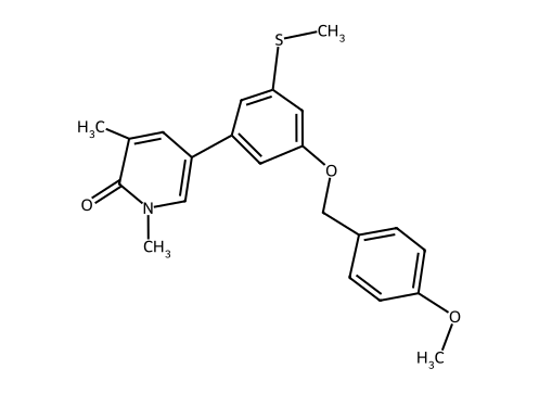 COc1ccc(COc2cc(SC)cc(-c3cc(C)c(=O)n(C)c3)c2)cc1